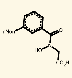 CCCCCCCCCc1cccc(C(=O)N(O)CC(=O)O)c1